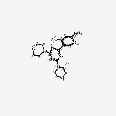 C[C@@H]1COCCN1c1nc(-c2cnc(N)cc2C(F)(F)F)nc(N2CCOCC2)n1